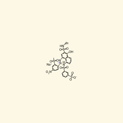 CC(C)NS(=O)(=O)c1cc(/N=N/c2ccc([N+](=O)[O-])cc2S(C)(=O)=O)c2c(NS(=O)(=O)c3cccc(S(=O)(=O)[O-])c3)cccc2c1O.[Na+]